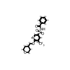 O=C(NS(=O)(=O)c1cnc(OCC2CCOCC2)c(C(F)(F)F)c1)c1ccccc1